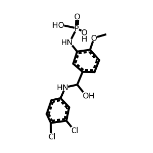 COc1ccc(C(O)Nc2ccc(Cl)c(Cl)c2)cc1NP(=O)(O)O